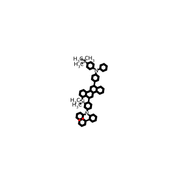 C[Si](C)(C)c1ccc(N(c2ccccc2)c2ccc(-c3cc4c5cccc6c5c(cc4c4ccccc34)-c3ccc(N(c4ccccc4)c4ccccc4-c4ccccc4)cc3[Si]6(C)C)cc2)cc1